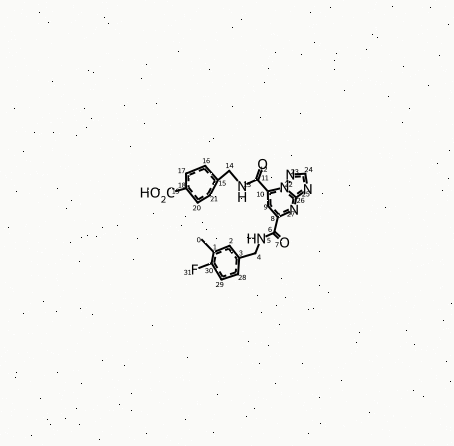 Cc1cc(CNC(=O)c2cc(C(=O)NCc3ccc(C(=O)O)cc3)n3ncnc3n2)ccc1F